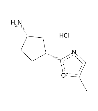 Cc1cnc([C@@H]2CC[C@H](N)C2)o1.Cl